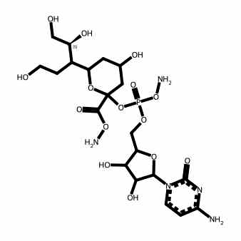 NOC(=O)C1(OP(=O)(ON)OCC2OC(n3ccc(N)nc3=O)C(O)C2O)CC(O)CC(C(CCO)[C@H](O)CO)O1